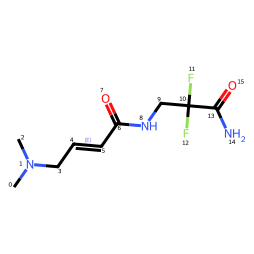 CN(C)C/C=C/C(=O)NCC(F)(F)C(N)=O